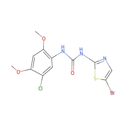 COc1cc(OC)c(NC(=O)Nc2ncc(Br)s2)cc1Cl